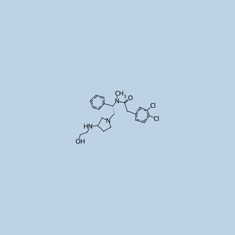 CN(C(=O)Cc1ccc(Cl)c(Cl)c1)[C@H](CN1CCC(NCCO)C1)c1ccccc1